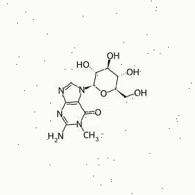 Cn1c(N)nc2ncn([C@@H]3O[C@H](CO)[C@@H](O)[C@H](O)[C@H]3O)c2c1=O